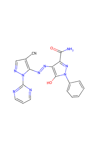 N#Cc1cnn(-c2ncccn2)c1N=Nc1c(C(N)=O)nn(-c2ccccc2)c1O